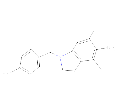 Cc1cc2c(c(C)c1[N+](=O)[O-])CCN2Cc1ccc(C(F)(F)F)cc1